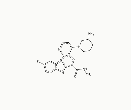 CNC(=O)c1cc2c(N3CCCC(N)C3)ccnc2n2c1nc1ccc(F)cc12